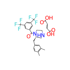 Cc1ccc(C[C@@H]2CNCCN2C(=O)c2cc(C(F)(F)F)cc(C(F)(F)F)c2)cc1C.O=C(O)/C=C/C(=O)O